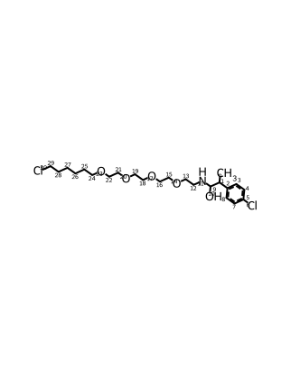 CC(c1ccc(Cl)cc1)C(O)NCCOCCOCCOCCOCCCCCCCl